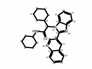 O=C(NC1CCCCC1)C(C1CCCCC1)n1c(-c2cnc3ccccc3c2)nc2ccccc21